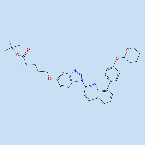 CC(C)(C)OC(=O)NCCCOc1ccc2c(c1)ncn2-c1ccc2cccc(-c3ccc(OC4CCCCO4)cc3)c2n1